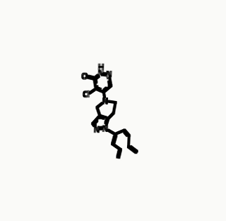 C=C/C=C\C(=C/C=C)n1ncc2c1CCN(c1cn[nH]c(=O)c1Cl)C2